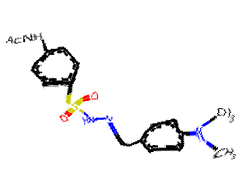 CC(=O)Nc1ccc(S(=O)(=O)NN=Cc2ccc(N(C)C)cc2)cc1